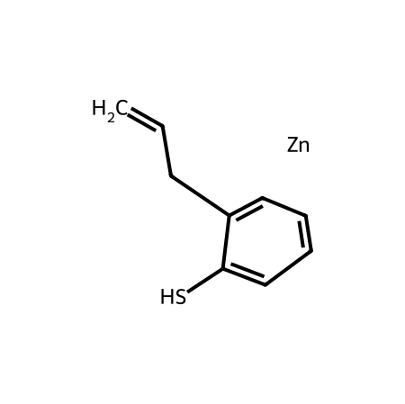 C=CCc1ccccc1S.[Zn]